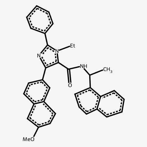 CCn1c(-c2ccccc2)nc(-c2ccc3cc(OC)ccc3c2)c1C(=O)NC(C)c1cccc2ccccc12